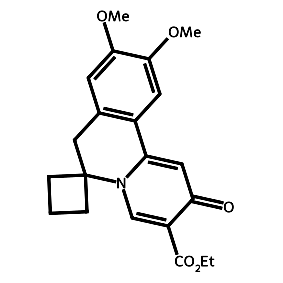 CCOC(=O)c1cn2c(cc1=O)-c1cc(OC)c(OC)cc1CC21CCC1